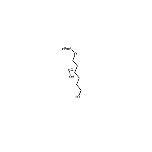 CCCCCOCCCCCCO.O=[N+]([O-])O